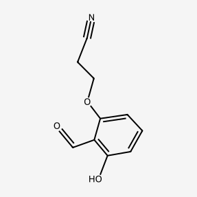 N#CCCOc1cccc(O)c1C=O